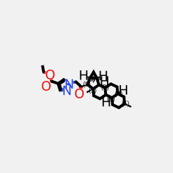 CCOC(=O)c1cnn(CC(=O)[C@H]2[C@H]3C[C@H]3C3[C@@H]4CC[C@@H]5C[C@@H](C)CC[C@@H]5C4CC[C@@]32C)c1